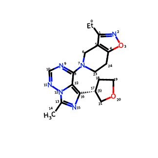 CCc1noc2c1CN(c1ncnn3c(C)nc([C@@H]4CCOC4)c13)CC2